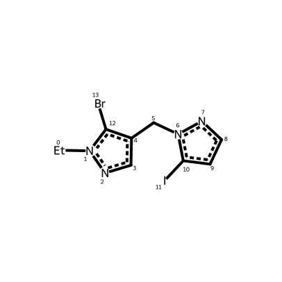 CCn1ncc(Cn2nccc2I)c1Br